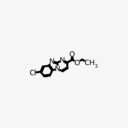 CCOC(=O)c1ccn2c(n1)nc1cc(Cl)ccc12